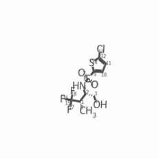 C[C@@H]([C@@H](CO)NS(=O)(=O)c1ccc(Cl)s1)C(F)(F)F